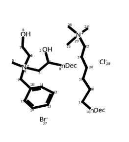 CCCCCCCCCCC(O)C[N+](C)(CCO)Cc1ccccc1.CCCCCCCCCCCCCCCC[N+](C)(C)C.[Br-].[Cl-]